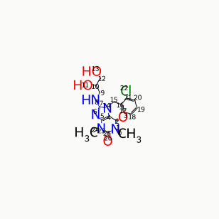 Cn1c(=O)c2c(nc(NCC(O)CO)n2Cc2ccccc2Cl)n(C)c1=O